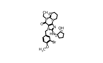 CCN1C(=O)c2c(nc(N[C@@H]3CCC[C@H]3O)n2Cc2ccc(OC)c(Br)c2)N2CCCN=C12